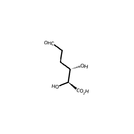 O=CCC[C@H](O)[C@H](O)C(=O)O